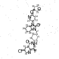 O=C(N[C@H]1CC[C@H](Cn2c(=O)n(-c3ccc(O[C@@H]4CCOC4)nc3)c3ccccc32)CC1)c1cc(Cl)cnc1C(F)F